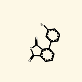 O=C1OC(=O)c2c1cccc2-c1cccc(Br)c1